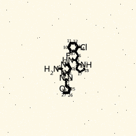 Nc1nc(NC(Cc2c(F)cccc2Cl)C2CCCN2)cc2nc(-c3ccco3)nn12